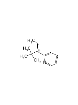 CC[C@@H](c1ccccn1)C(C)(C)C